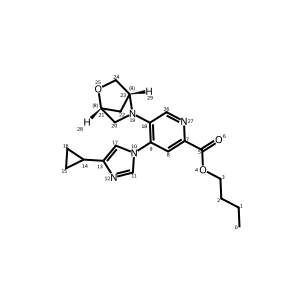 CCCCOC(=O)c1cc(-n2cnc(C3CC3)c2)c(N2C[C@H]3C[C@@H]2CO3)cn1